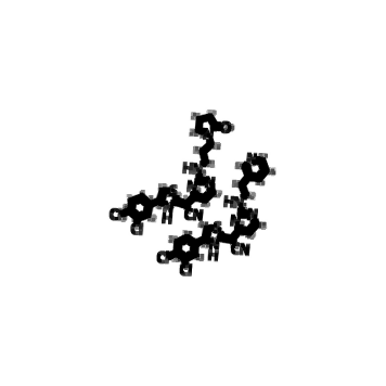 N#CC(=C1NC(c2ccc(Cl)c(Cl)c2)=CS1)c1ccnc(NCCCN2CCCC2=O)n1.N#CC(=C1NC(c2ccc(Cl)c(Cl)c2)=CS1)c1ccnc(NCCc2cccnc2)n1